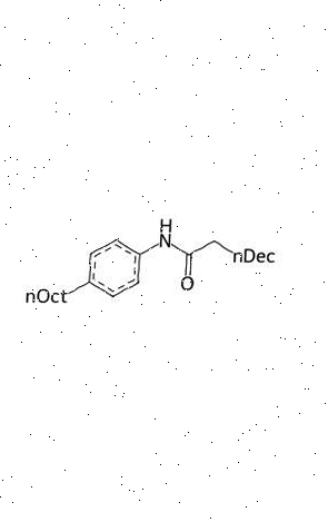 CCCCCCCCCCCC(=O)Nc1ccc(CCCCCCCC)cc1